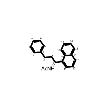 CC(=O)N[C@H](CCc1ccccc1)c1cccc2ccccc12